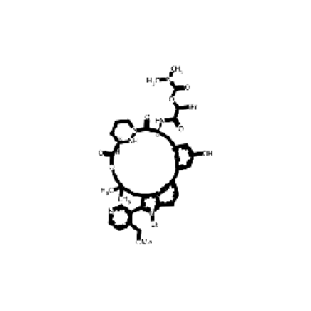 CCn1c(-c2cnccc2COC)c2c3cc(ccc31)-c1cc(O)cc(c1)C[C@H](NC(=O)C(OC(=O)N(C)C)C(C)C)C(=O)N1CCC[C@H](N1)C(=O)OCC(C)(C)C2